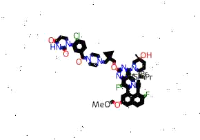 COCOc1cc(-c2ncc3c(N4CCC[C@@](C)(O)C4)nc(OCC4(CN5CCN(C(=O)c6ccc(Cl)c(N7CCC(=O)NC7=O)c6)CC5)CC4)nc3c2F)c2c(C#C[Si](C(C)C)(C(C)C)C(C)C)c(F)ccc2c1